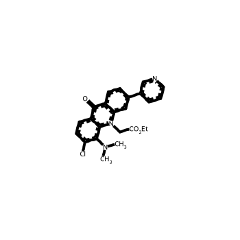 CCOC(=O)Cn1c2cc(-c3cccnc3)ccc2c(=O)c2ccc(Cl)c(N(C)C)c21